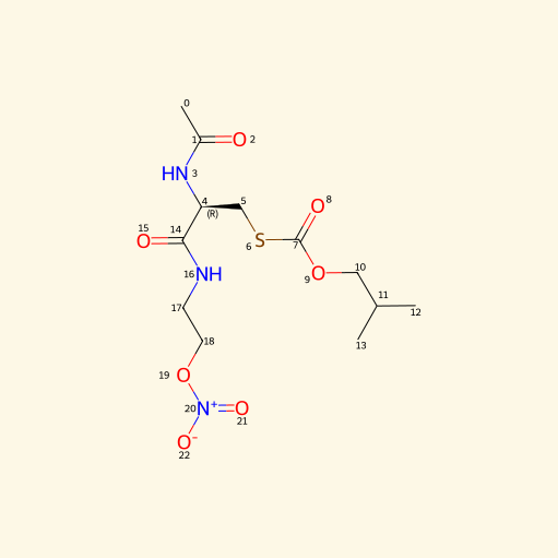 CC(=O)N[C@@H](CSC(=O)OCC(C)C)C(=O)NCCO[N+](=O)[O-]